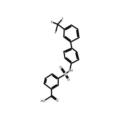 O=C(O)c1cccc(S(=O)(=O)Nc2ccc(-c3cccc(C(F)(F)F)c3)cc2)c1